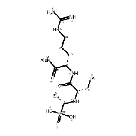 CC[C@H](N[C@@H](CC(C)C)C(=O)N[C@@H](CCCNC(=N)N)C(=O)NC)P(=O)(O)O